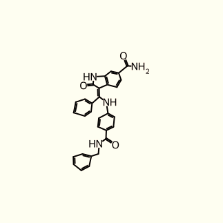 NC(=O)c1ccc2c(c1)NC(=O)C2=C(Nc1ccc(C(=O)NCc2ccccc2)cc1)c1ccccc1